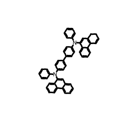 C1=Cc2c(cc(N(c3ccccc3)c3ccc(-c4ccc(N(c5ccccc5)c5cc6ccccc6c6ccccc56)cc4)cc3)c3ccccc23)CC1